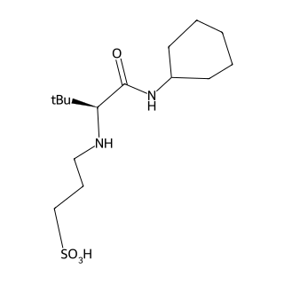 CC(C)(C)[C@H](NCCCS(=O)(=O)O)C(=O)NC1CCCCC1